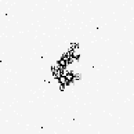 N#CCCN(C1CC1)S(=O)(=O)c1ccc(Nc2ncc3c(n2)-c2ccc(Cl)cc2NC(=O)C3)cc1